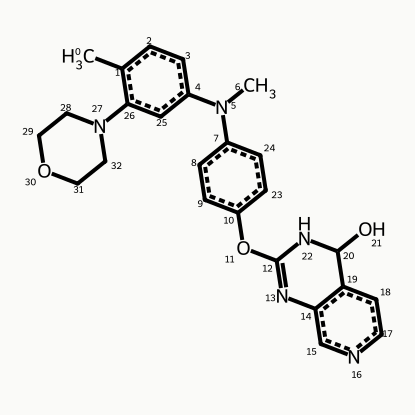 Cc1ccc(N(C)c2ccc(OC3=Nc4cnccc4C(O)N3)cc2)cc1N1CCOCC1